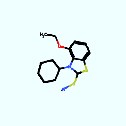 CCOc1cccc2c1N(C1CCCCC1)C(S[N])S2